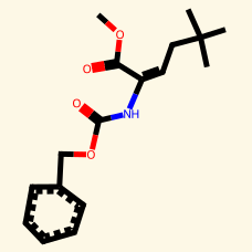 COC(=O)C(=CCC(C)(C)C)NC(=O)OCc1ccccc1